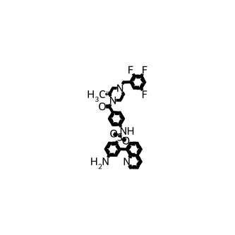 C[C@H]1CN(Cc2cc(F)cc(F)c2F)CCN1C(=O)c1ccc(NS(=O)(=O)c2ccc(N)cc2-c2cccc3cccnc23)cc1